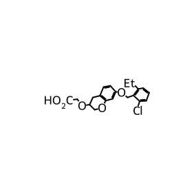 CCc1cccc(Cl)c1COc1ccc2c(c1)OCC(OCC(=O)O)C2